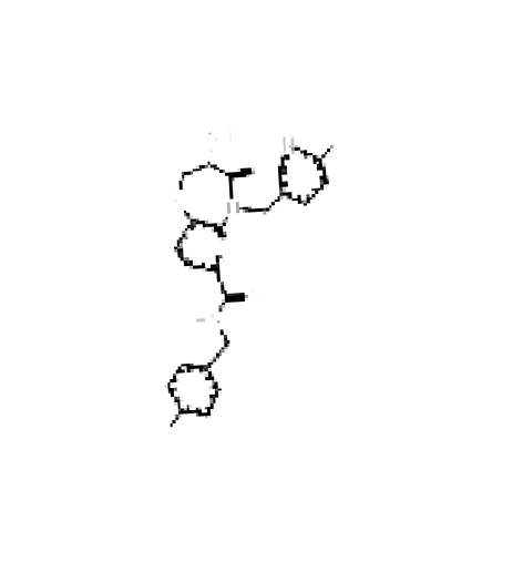 Cl.N[C@H]1CSc2ccc(C(=O)NCc3ccc(F)cc3)cc2N(Cc2ccc(C(F)(F)F)nc2)C1=O